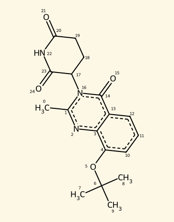 Cc1nc2c(OC(C)(C)C)cccc2c(=O)n1C1CCC(=O)NC1=O